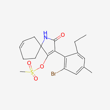 CCc1cc(C)cc(Br)c1C1=C(OS(C)(=O)=O)C2(CC=CCC2)NC1=O